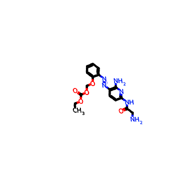 CCOC(=O)OCOc1ccccc1/N=N/c1ccc(NC(=O)CN)nc1N